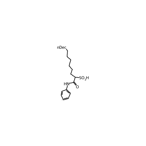 CCCCCCCCCCCCCCCCC(C(=O)Nc1cc[c]cc1)S(=O)(=O)O